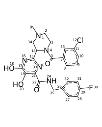 CN1CCN(C(=O)c2cccc(Cl)c2)C(c2nc(O)c(O)c(C(=O)NCc3ccc(F)cc3)n2)C1